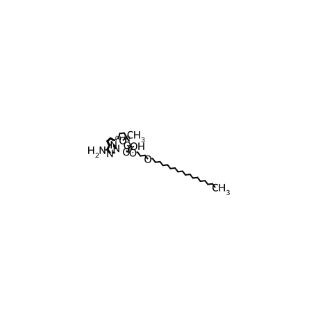 CCCCCCCCCCCCCCCCCCOCCCOP(=O)(O)OC[C@]1(C)CC[C@H](c2ccc3c(N)ncnn23)O1